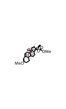 C#C[C@]1(OC(=O)OC)[C@@H](C)C[C@H]2[C@@H]3CC=C4C=C(OC)CC[C@]4(C)[C@@]3(OC(=O)OC)CC[C@@]21C